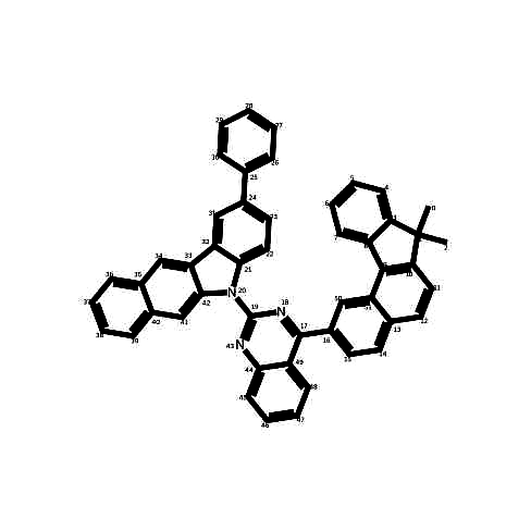 CC1(C)c2ccccc2-c2c1ccc1ccc(-c3nc(-n4c5ccc(-c6ccccc6)cc5c5cc6ccccc6cc54)nc4ccccc34)cc21